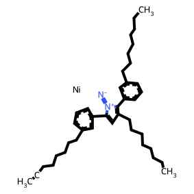 CCCCCCCCC1=C(c2cccc(CCCCCCCC)c2)[N+](=[N-])C(c2cccc(CCCCCCCC)c2)=C1.[Ni]